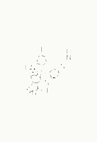 COc1cc(N2CCNCC2)ccc1Nc1nc(Nc2cccc(Cl)c2F)cc2cnnc(O)c12